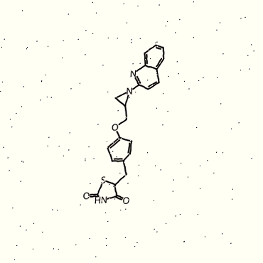 O=C1NC(=O)C(Cc2ccc(OCC3CN3c3ccc4ccccc4n3)cc2)S1